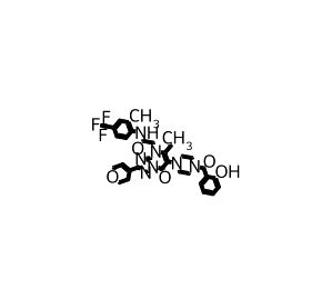 CCc1c(N2CCN(C(=O)c3ccccc3O)CC2)c(=O)n2nc(C3=CCOCC3)nc2n1CC(=O)Nc1ccc(C(F)(F)F)cc1C